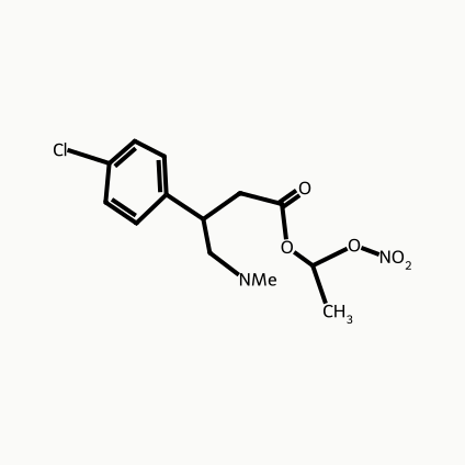 CNCC(CC(=O)OC(C)O[N+](=O)[O-])c1ccc(Cl)cc1